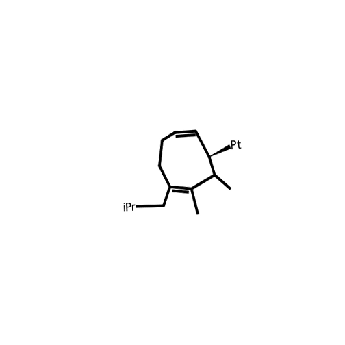 C/C1=C(\CC(C)C)CC/C=C\[C@@H]([Pt])C1C